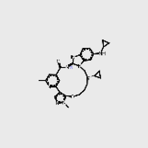 Cc1cc2cc(n1)-c1cnn(C)c1OCCC[C@@H](C1CC1)CN1/C(=N/C2=O)Nc2ccc(NC3CC3)cc21